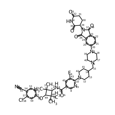 CC1(C)C(NC(=O)c2cnc(N3CCC(CN4CCN(c5ccc6c(c5)C(=O)N(C5CCC(=O)NC5=O)C6=O)CC4)CC3)c(F)c2)C(C)(C)C1Oc1ccc(C#N)c(Cl)c1